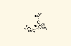 N#Cc1c(N)nc(SCc2csc(Nc3ccc(F)c(Cl)c3)n2)c(C#N)c1-c1ccc(CCC(O)CO)cc1